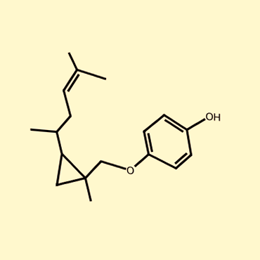 CC(C)=CCC(C)C1CC1(C)COc1ccc(O)cc1